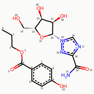 CCCOC(=O)c1ccc(O)cc1.NC(=O)c1ncn([C@@H]2O[C@H](CO)[C@@H](O)[C@H]2O)n1